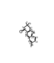 CC1(C)CC(=O)c2nc3cc(F)ccc3nc2C1